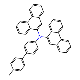 Cc1ccc(-c2ccc(N(c3cc4ccccc4c4ccccc34)c3cc4ccccc4c4ccccc34)cc2)cc1